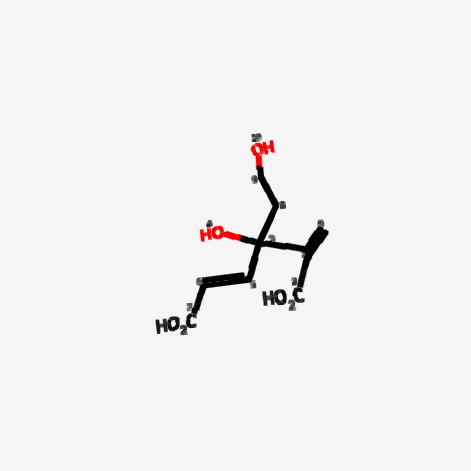 C=C(C(=O)O)C(O)(C=CC(=O)O)CCO